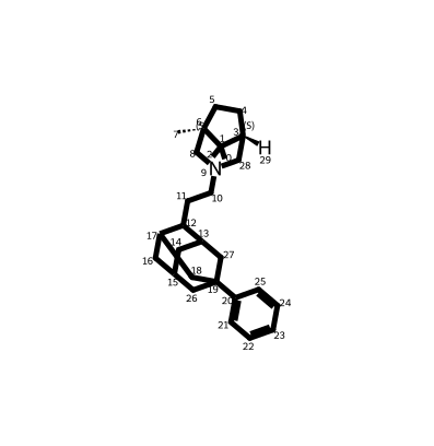 CC1(C)[C@@H]2CC[C@]1(C)CN(CCC1C3CC4CC1CC(c1ccccc1)(C4)C3)C2